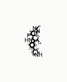 Cc1nc2cc(F)c(-c3[nH]c4ccc(C5CCNCC5)cc4c3C(C)C)cn2n1